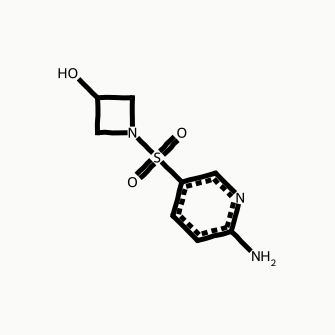 Nc1ccc(S(=O)(=O)N2CC(O)C2)cn1